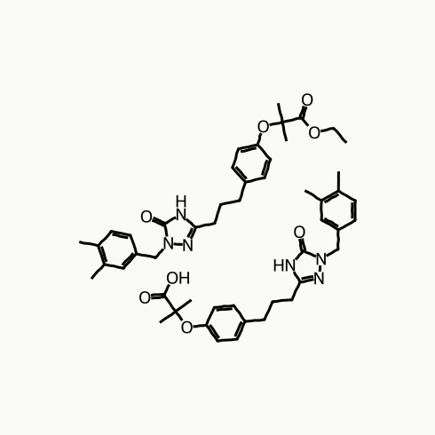 CCOC(=O)C(C)(C)Oc1ccc(CCCc2nn(Cc3ccc(C)c(C)c3)c(=O)[nH]2)cc1.Cc1ccc(Cn2nc(CCCc3ccc(OC(C)(C)C(=O)O)cc3)[nH]c2=O)cc1C